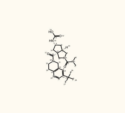 CN(C)C(=O)N1C[C@@H]2C[C@@H](NC(=O)O)C[C@]2(C(=O)N2CCc3ncc(C(F)(F)F)cc3C2)C1